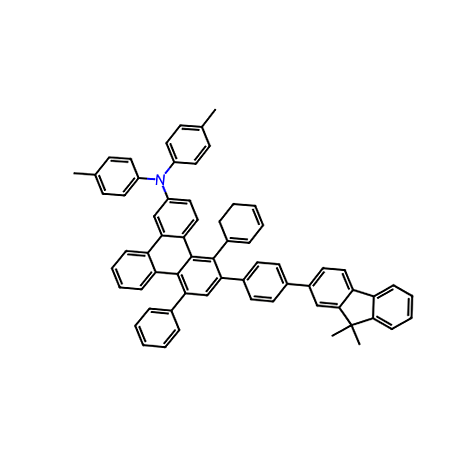 Cc1ccc(N(c2ccc(C)cc2)c2ccc3c(c2)c2ccccc2c2c(-c4ccccc4)cc(-c4ccc(-c5ccc6c(c5)C(C)(C)c5ccccc5-6)cc4)c(C4=CC=CCC4)c32)cc1